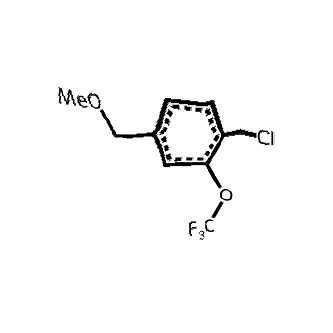 COCc1ccc(Cl)c(OC(F)(F)F)c1